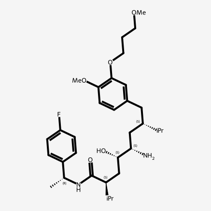 COCCCOc1cc(C[C@@H](C[C@H](N)[C@@H](O)C[C@H](C(=O)N[C@H](C)c2ccc(F)cc2)C(C)C)C(C)C)ccc1OC